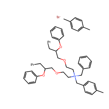 Cc1ccc(C)cc1.Cc1ccc(C[N+](CCOCC(CC(C)C)Oc2ccccc2)(CCOCC(CC(C)C)Oc2ccccc2)Cc2ccccc2)cc1.[Br-]